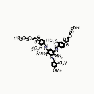 CNc1c(/N=N/c2ccc(S(=O)(=O)CCOSOOO)cc2S(=O)(=O)O)cc(/N=N/c2ccc(S(=O)(=O)CCOSOOO)cc2S(=O)(=O)O)c(N)c1/N=N/c1ccc(OC)cc1S(=O)(=O)O